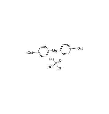 CCCCCCCCc1cc[c]([Mg][c]2ccc(CCCCCCCC)cc2)cc1.O=P(O)(O)O